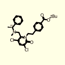 C[C@@H](c1ccccc1)N(C)Cc1c(Cl)cc(Cl)c(=O)n1CCc1ccc(C(=O)OC(C)(C)C)cc1